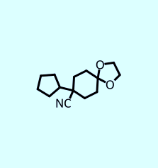 N#CC1(C2CCCC2)CCC2(CC1)OCCO2